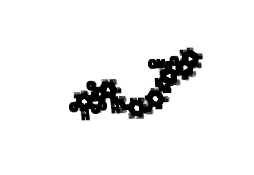 COc1cc2nc([C@H]3CC[C@H](CN4CCC(CCNc5cccc6c5C(=O)N(C5CCC(=O)NC5=O)C6=O)CC4)CC3)sc2cc1-n1ccc2ccccc2c1=O